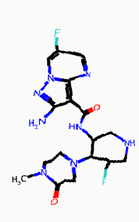 CN1CCN(C2C(F)CNCC2NC(=O)c2c(N)nn3cc(F)cnc23)CC1=O